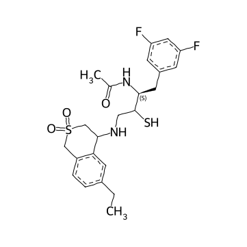 CCc1ccc2c(c1)C(NCC(S)[C@H](Cc1cc(F)cc(F)c1)NC(C)=O)CS(=O)(=O)C2